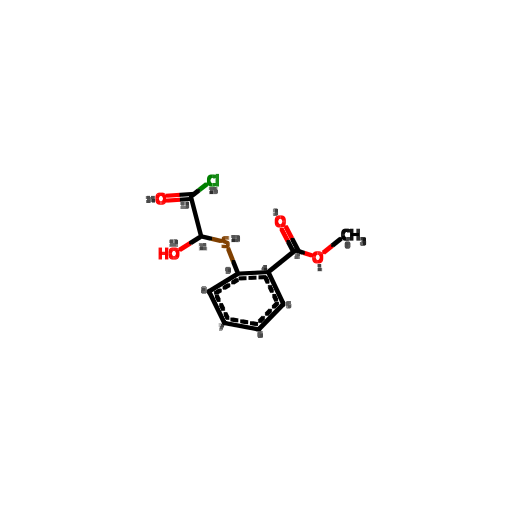 COC(=O)c1ccccc1SC(O)C(=O)Cl